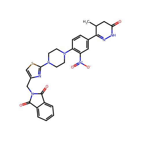 CC1CC(=O)NN=C1c1ccc(N2CCN(c3nc(CN4C(=O)c5ccccc5C4=O)cs3)CC2)c([N+](=O)[O-])c1